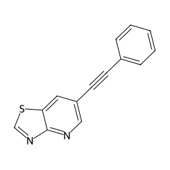 C(#Cc1cnc2ncsc2c1)c1ccccc1